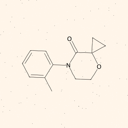 Cc1ccccc1N1CCOC2(CC2)C1=O